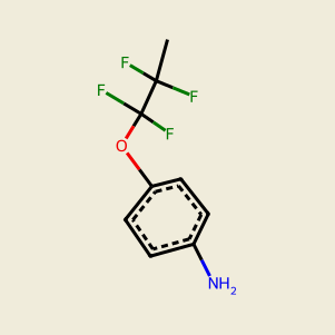 CC(F)(F)C(F)(F)Oc1ccc(N)cc1